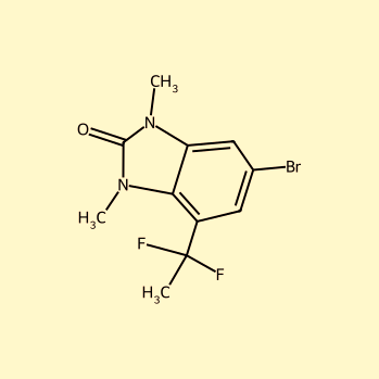 Cn1c(=O)n(C)c2c(C(C)(F)F)cc(Br)cc21